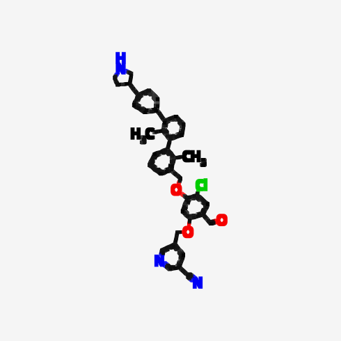 Cc1c(COc2cc(OCc3cncc(C#N)c3)c(C=O)cc2Cl)cccc1-c1cccc(-c2ccc(C3CCNC3)cc2)c1C